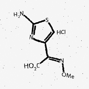 CON=C(C(=O)O)c1csc(N)n1.Cl